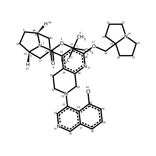 CC(C)(C)OC(=O)N1[C@@H]2CC[C@H]1CN(c1nc(OCC34CCCN3CCC4)nc3c1CCN(c1cncc4cccc(Cl)c14)C3)C2